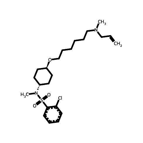 C=CCN(C)CCCCCCO[C@H]1CC[C@H](N(C)S(=O)(=O)c2ccccc2Cl)CC1